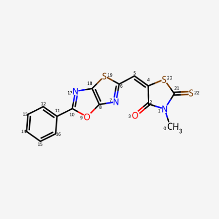 CN1C(=O)/C(=C\c2nc3oc(-c4ccccc4)nc3s2)SC1=S